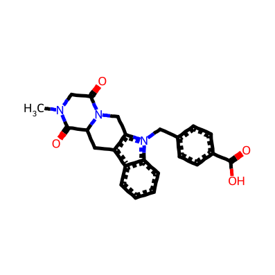 CN1CC(=O)N2Cc3c(c4ccccc4n3Cc3ccc(C(=O)O)cc3)CC2C1=O